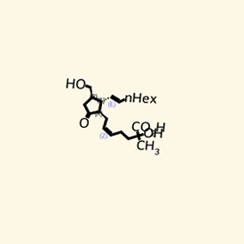 CCCCCC/C=C/[C@H]1[C@H](CO)CC(=O)[C@@H]1C/C=C\CCC(C)(O)C(=O)O